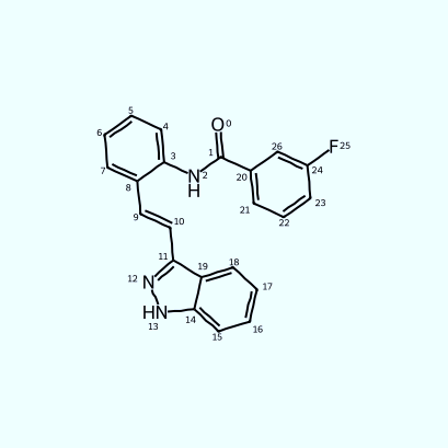 O=C(Nc1ccccc1C=Cc1n[nH]c2ccccc12)c1cccc(F)c1